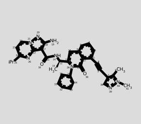 Cc1c(C#Cc2cccc3cc([C@@H](C)NC(=O)c4c(N)nn5ccc(C(C)C)nc45)n(-c4ccccc4)c(=O)c23)cnn1C